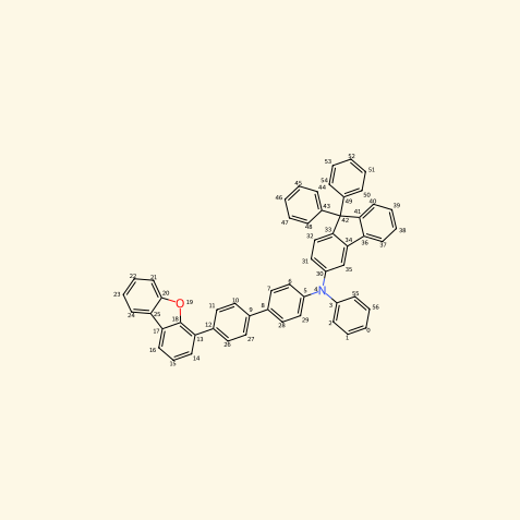 c1ccc(N(c2ccc(-c3ccc(-c4cccc5c4oc4ccccc45)cc3)cc2)c2ccc3c(c2)-c2ccccc2C3(c2ccccc2)c2ccccc2)cc1